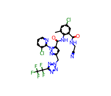 Cc1cc(Cl)cc(C(=O)NCC#N)c1NC(=O)c1cc(Cn2nnc(C(F)(F)C(F)(F)F)n2)nn1-c1ncccc1Cl